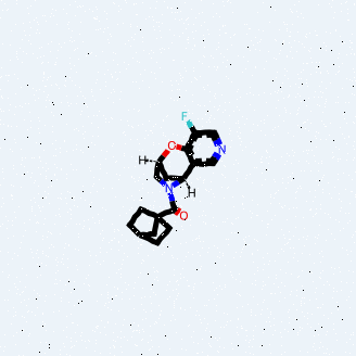 O=C(N1C[C@@H]2C[C@H]1c1cncc(F)c1O2)C12CCC(CC1)C2